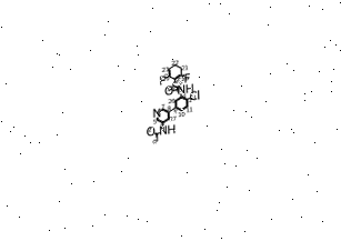 CC(=O)Nc1cncc(-c2ccc(Cl)c(N[S+]([O-])C3=C(F)CCC=C3F)c2)c1